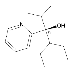 CCC(CC)[C@](O)(c1ccccn1)C(C)C